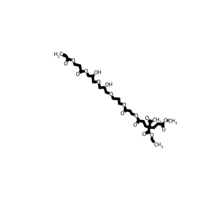 C=CC(=O)OCCC(=O)OCC(O)COCC(O)COCCCOC(=O)CCOC(=O)CCC(CCC(=O)OC)(C(C)=O)C(=O)OCC